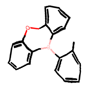 Cc1ccccc1B1c2ccccc2Oc2ccccc21